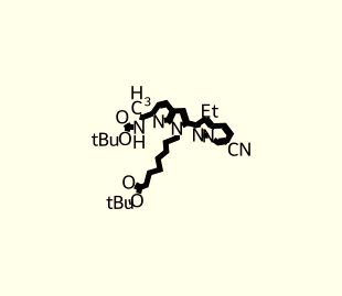 CCc1c(-c2cc3ccc([C@@H](C)NC(=O)OC(C)(C)C)nc3n2CCCCCCCC(=O)OC(C)(C)C)nn2cc(C#N)ccc12